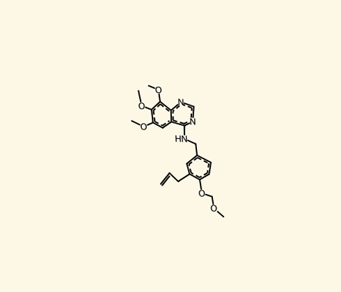 C=CCc1cc(CNc2ncnc3c(OC)c(OC)c(OC)cc23)ccc1OCOC